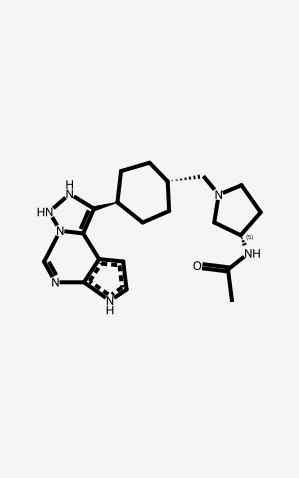 CC(=O)N[C@H]1CCN(C[C@H]2CC[C@H](C3=C4c5cc[nH]c5N=CN4NN3)CC2)C1